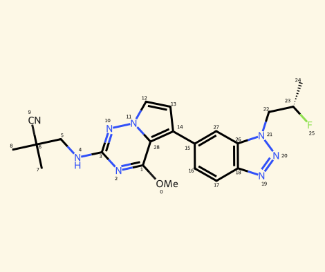 COc1nc(NCC(C)(C)C#N)nn2ccc(-c3ccc4nnn(C[C@H](C)F)c4c3)c12